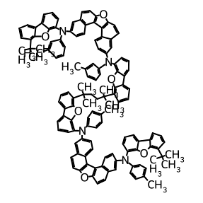 Cc1ccc(N(c2ccc3c(ccc4oc5ccc6cc(N(c7ccc(C)cc7)c7cccc8c7oc7c(C(C)(C)CCC(C)(C)c9cccc%10c9oc9c(N(c%11cccc(C)c%11)c%11ccc%12c(ccc%13oc%14ccc%15cc(N(c%16cccc(C)c%16)c%16cccc%17c%16oc%16c(C(C)(C)C)cccc%16%17)ccc%15c%14c%13%12)c%11)cccc9%10)cccc78)ccc6c5c43)c2)c2cccc3c2oc2c(C(C)(C)C)cccc23)cc1